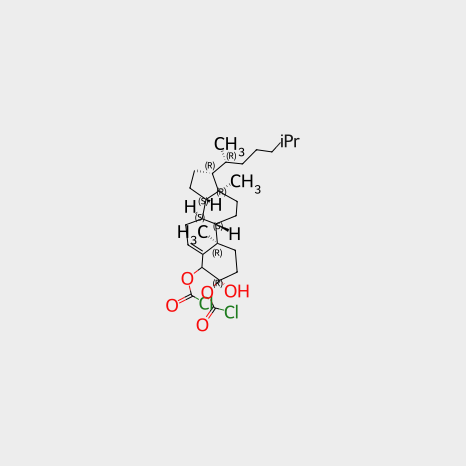 CC(C)CCC[C@@H](C)[C@H]1CC[C@H]2[C@@H]3CC=C4C(OC(=O)Cl)[C@](O)(OC(=O)Cl)CC[C@]4(C)[C@H]3CC[C@]12C